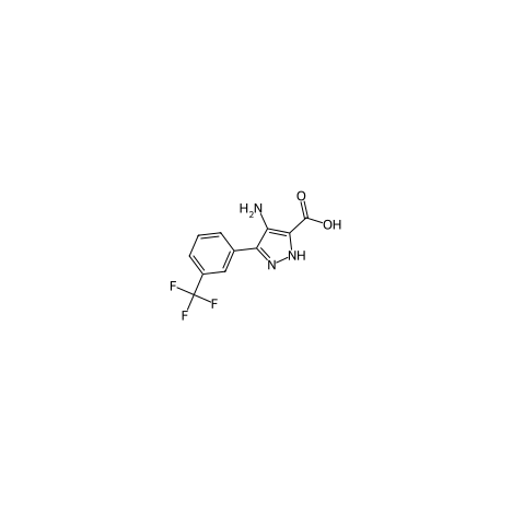 Nc1c(-c2cccc(C(F)(F)F)c2)n[nH]c1C(=O)O